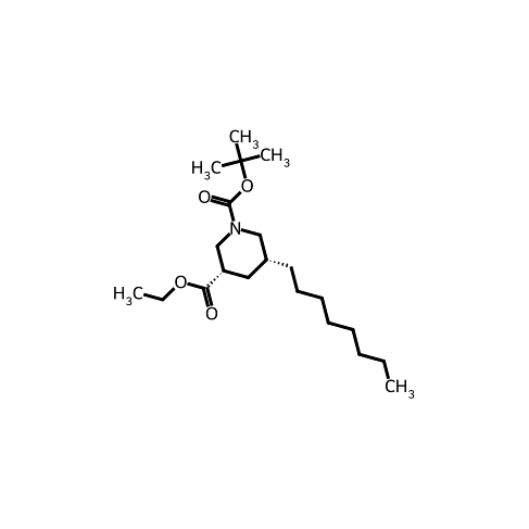 CCCCCCCC[C@@H]1C[C@H](C(=O)OCC)CN(C(=O)OC(C)(C)C)C1